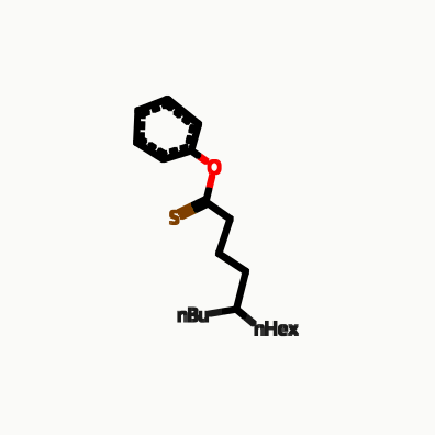 CCCCCCC(CCCC)CCCC(=S)Oc1ccccc1